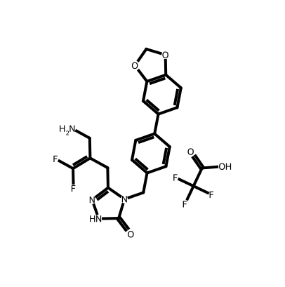 NCC(Cc1n[nH]c(=O)n1Cc1ccc(-c2ccc3c(c2)OCO3)cc1)=C(F)F.O=C(O)C(F)(F)F